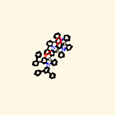 c1ccc(-c2cc(-c3ccccc3)cc(N3c4ccccc4B4c5cc6c(cc5Oc5cc(-c7ccccc7-c7ccccc7)cc3c54)N(c3c(-c4ccccc4)cccc3-c3ccccc3)c3cc4c5c7c3B6c3ccccc3N7c3ccccc3B5c3ccccc3N4c3ccccc3)c2)cc1